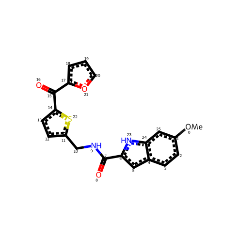 COc1ccc2cc(C(=O)NCc3ccc(C(=O)c4ccco4)s3)[nH]c2c1